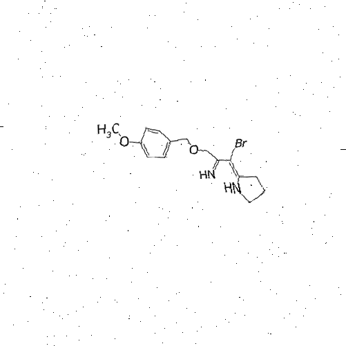 COc1ccc(COCC(=N)/C(Br)=C2/CCCN2)cc1